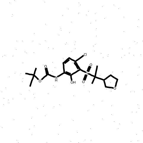 CC(C)(C)OC(=O)Nc1ccc(Cl)c(S(=O)(=O)C(C)(C)C2CCOC2)c1O